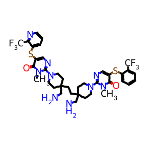 Cn1c(N2CCC(CN)(CCC3(CN)CCN(c4ncc(Sc5cccnc5C(F)(F)F)c(=O)n4C)CC3)CC2)ncc(Sc2ccccc2C(F)(F)F)c1=O